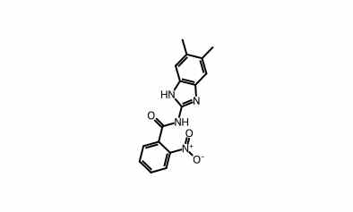 Cc1cc2nc(NC(=O)c3ccccc3[N+](=O)[O-])[nH]c2cc1C